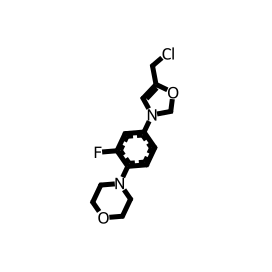 Fc1cc(N2C=C(CCl)OC2)ccc1N1CCOCC1